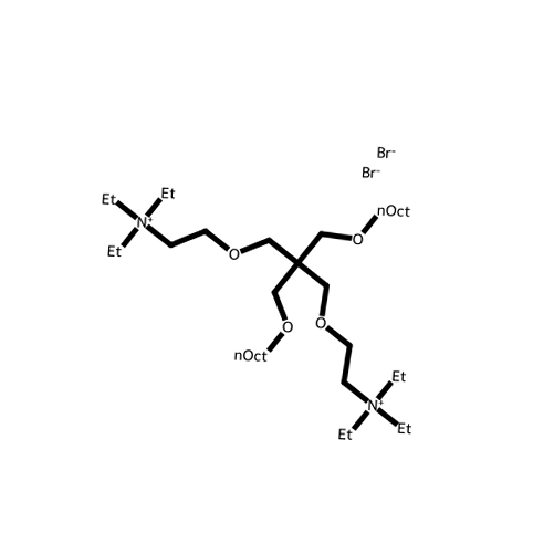 CCCCCCCCOCC(COCCCCCCCC)(COCC[N+](CC)(CC)CC)COCC[N+](CC)(CC)CC.[Br-].[Br-]